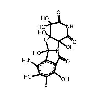 Nc1c(O)c(F)c(O)c2c1C1(O)OC3(O)C(O)(O)C(=O)NC(=O)C3(O)N1C2=O